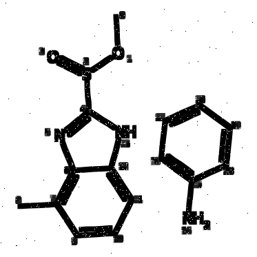 COS(=O)c1nc2c(C)cccc2[nH]1.Nc1ccccc1